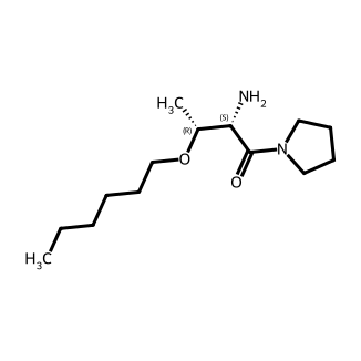 CCCCCCO[C@H](C)[C@H](N)C(=O)N1CCCC1